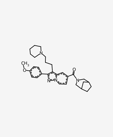 COc1ccc(-c2nn3ccc(C(=O)N4CC5CCC(C5)C4)cc3c2CCCN2CCCCC2)cc1